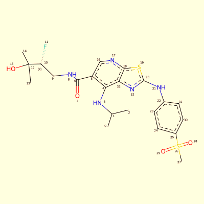 CC(C)Nc1c(C(=O)NC[C@@H](F)C(C)(C)O)cnc2sc(Nc3ccc(S(C)(=O)=O)cc3)nc12